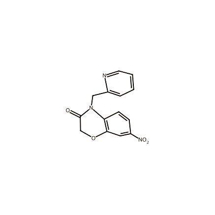 O=C1COc2cc([N+](=O)[O-])ccc2N1Cc1ccccn1